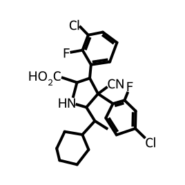 CC(C1CCCCC1)C1NC(C(=O)O)C(c2cccc(Cl)c2F)C1(C#N)c1ccc(Cl)cc1F